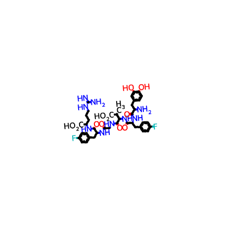 CC(C(=O)O)C(NC(=O)C(Cc1ccc(F)cc1)NC(=O)C(N)Cc1ccc(O)c(O)c1)C(=O)NCC(=O)NC(Cc1ccc(F)cc1)C(=O)NC(CCCNC(=N)N)C(=O)O